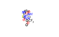 CC(C)(C)OC(=O)NC[C@H]1CCCN(c2c(NC(=O)c3csc(-c4ccnnc4)n3)ccc(Oc3ccccc3)c2C(F)(F)F)C1